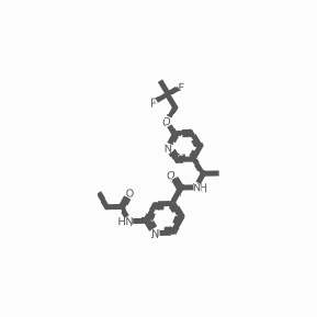 CCC(=O)Nc1cc(C(=O)NC(C)c2ccc(OCC(C)(F)F)nc2)ccn1